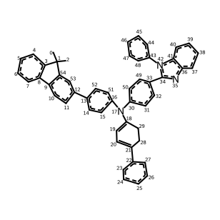 CC1(C)c2ccccc2-c2ccc(-c3ccc(N(C4=CC=C(c5ccccc5)CC4)c4ccc(-c5nc6ccccc6n5-c5ccccc5)cc4)cc3)cc21